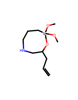 C=CCC1CNCCC[Si](OC)(OC)O1